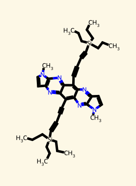 CCC[Si](C#CC#Cc1c2nc3ccn(C)c3nc2c(C#CC#C[Si](CCC)(CCC)CCC)c2nc3ccn(C)c3nc12)(CCC)CCC